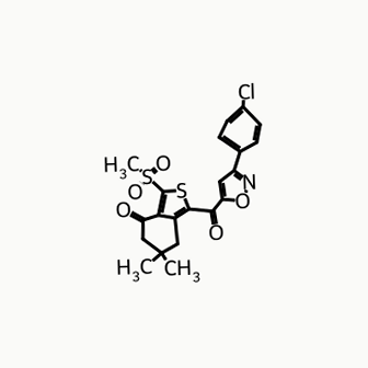 CC1(C)CC(=O)c2c(S(C)(=O)=O)sc(C(=O)c3cc(-c4ccc(Cl)cc4)no3)c2C1